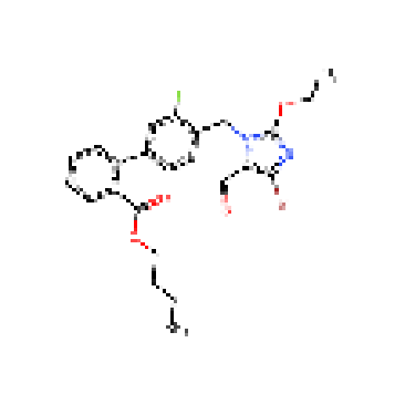 CCCCOC(=O)c1ccccc1-c1ccc(Cn2c(OCC)nc(Br)c2C=O)c(F)c1